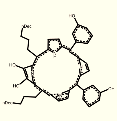 CCCCCCCCCCCCCc1c2nc(c(CCCCCCCCCCCCC)c3ccc([nH]3)c(-c3cccc(O)c3)c3nc(c(-c4cccc(O)c4)c4ccc1[nH]4)C=C3)C(O)=C2O